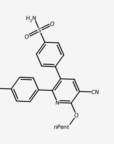 CCCCCOc1nc(-c2ccc(F)cc2)c(-c2ccc(S(N)(=O)=O)cc2)cc1C#N